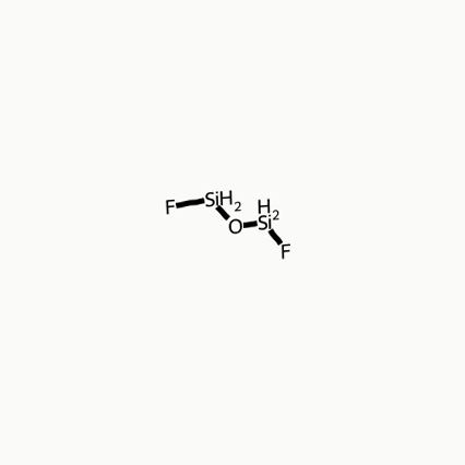 F[SiH2]O[SiH2]F